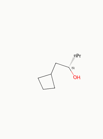 CCC[C@H](O)CC1CCC1